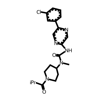 CC(C)C(=O)N1CCC(N(C)C(=O)Nc2cnc(-c3cccc(Cl)c3)cn2)CC1